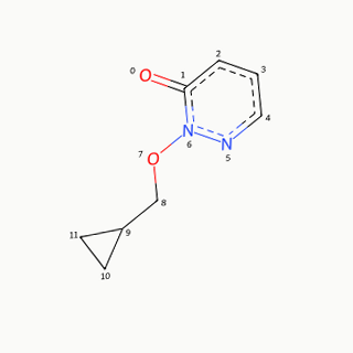 O=c1cccnn1OCC1CC1